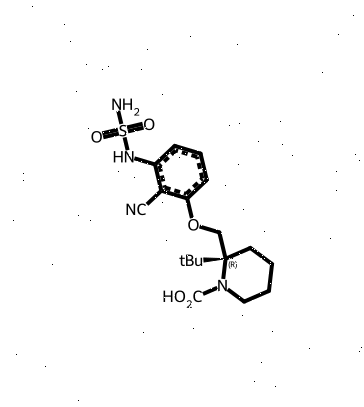 CC(C)(C)[C@@]1(COc2cccc(NS(N)(=O)=O)c2C#N)CCCCN1C(=O)O